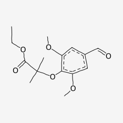 CCOC(=O)C(C)(C)Oc1c(OC)cc(C=O)cc1OC